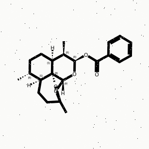 C[C@H]1[C@@H](OC(=O)c2ccccc2)O[C@@H]2OC3(C)CC[C@H]4[C@H](C)CC[C@@H]1[C@@]24OO3